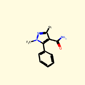 CCc1nn(C(F)(F)F)c(-c2ccccc2)c1C(N)=O